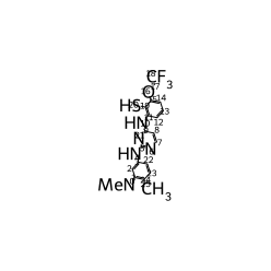 CNc1cc(Nc2nccc(Nc3cccc(OCC(F)(F)F)c3S)n2)ccc1C